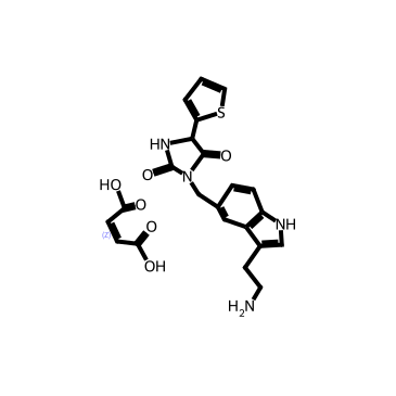 NCCc1c[nH]c2ccc(CN3C(=O)NC(c4cccs4)C3=O)cc12.O=C(O)/C=C\C(=O)O